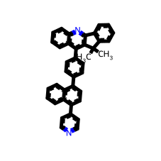 CC1(C)c2ccccc2-c2nc3ccccc3c(-c3ccc(-c4ccc(-c5ccncc5)c5ccccc45)cc3)c21